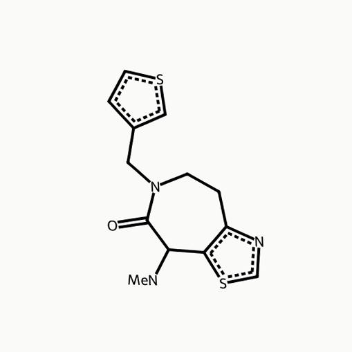 CNC1C(=O)N(Cc2ccsc2)CCc2ncsc21